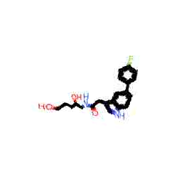 O=C(Cc1c[nH]c2ccc(-c3ccc(F)cc3)cc12)NCC(O)CCCO